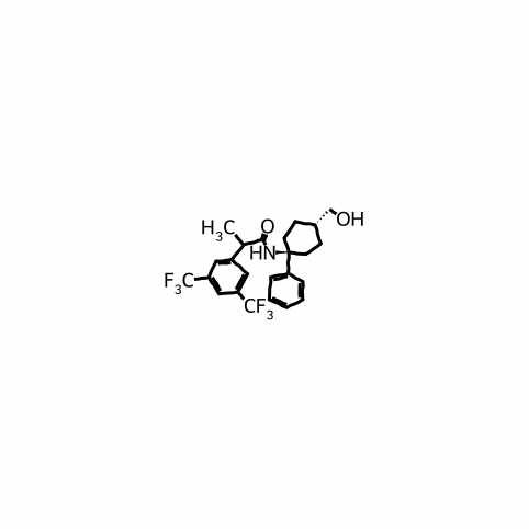 CC(C(=O)N[C@]1(c2ccccc2)CC[C@@H](CO)CC1)c1cc(C(F)(F)F)cc(C(F)(F)F)c1